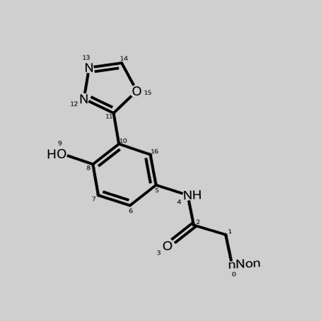 CCCCCCCCCCC(=O)Nc1ccc(O)c(-c2nnco2)c1